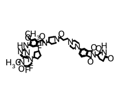 COc1cc(C(=O)NC2CCN(C(=O)CCN3CCN(c4ccc5c(c4)C(=O)N(C4CCC(=O)NC4=O)C5=O)CC3)CC2)c(F)cc1Nc1ncc2c(n1)N(C1CCCC1)CC(F)(F)C(=O)N2C